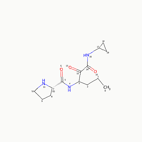 CCCC(NC(=O)[C@@H]1CCCN1)C(=O)C(=O)NC1CC1